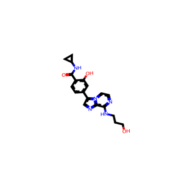 O=C(NC1CC1)c1ccc(-c2cnc3c(NCCCO)nccn23)cc1O